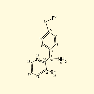 N[C@@H](c1ccc(CF)cc1)c1ncccc1Br